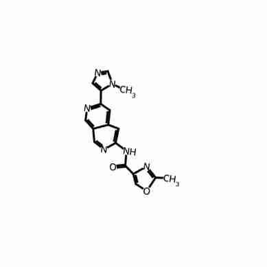 Cc1nc(C(=O)Nc2cc3cc(-c4cncn4C)ncc3cn2)co1